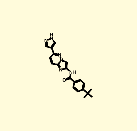 CC(C)(C)c1ccc(C(=O)Nc2cn3nc(-c4cn[nH]c4)ccc3n2)cc1